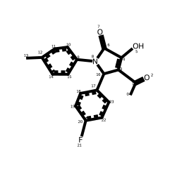 CC(=O)C1=C(O)C(=O)N(c2ccc(C)cc2)C1c1ccc(F)cc1